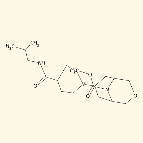 COC(=O)N1C2COCC1CC(N1CCC(C(=O)NCC(C)C)CC1)C2